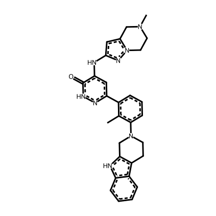 Cc1c(-c2cc(Nc3cc4n(n3)CCN(C)C4)c(=O)[nH]n2)cccc1N1CCc2c([nH]c3ccccc23)C1